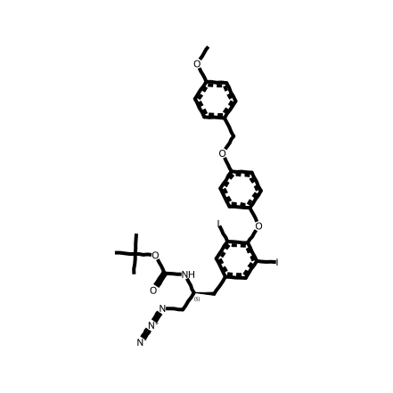 COc1ccc(COc2ccc(Oc3c(I)cc(C[C@@H](CN=[N+]=[N-])NC(=O)OC(C)(C)C)cc3I)cc2)cc1